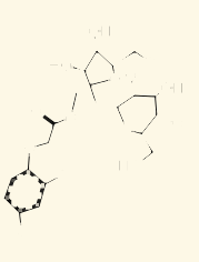 O=C(COc1ccc(Cl)cc1Cl)OC[C@@]1(O[C@H]2O[C@H](CO)[C@@H](O)[C@H](O)[C@H]2O)O[C@H](CO)[C@@H](O)[C@@H]1O